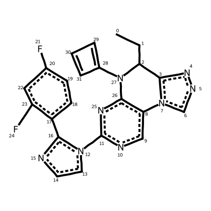 CCC1c2nncn2-c2cnc(-n3ccnc3-c3ccc(F)cc3F)nc2N1C1=CC=C1